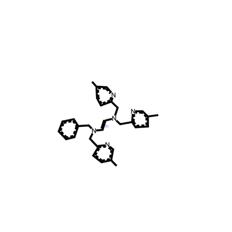 Cc1ccc(CN(/C=C/N(Cc2ccc(C)cn2)Cc2ccc(C)cn2)Cc2ccccc2)nc1